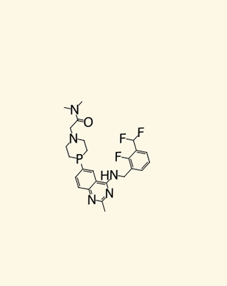 Cc1nc(NCc2cccc(C(F)F)c2F)c2cc(P3CCN(CC(=O)N(C)C)CC3)ccc2n1